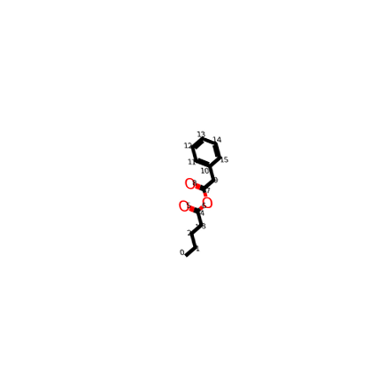 CCC[CH]C(=O)OC(=O)Cc1ccccc1